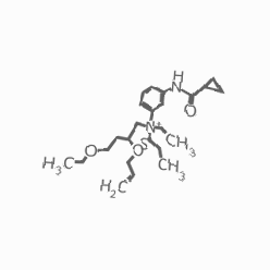 C=CCOC(CCOCC)C[N+](CC)(C(=S)CC)c1cccc(NC(=O)C2CC2)c1